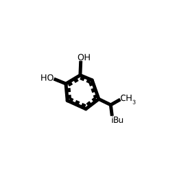 CCC(C)C(C)c1ccc(O)c(O)c1